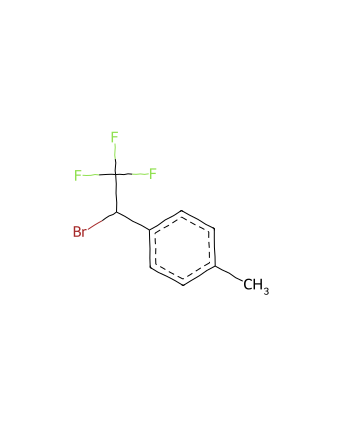 Cc1ccc(C(Br)C(F)(F)F)cc1